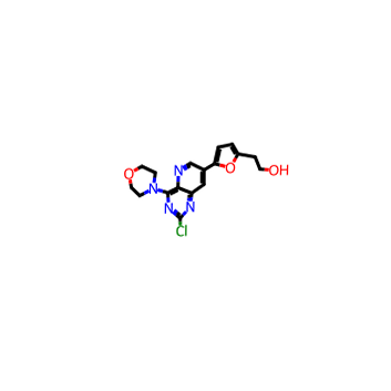 OCCc1ccc(-c2cnc3c(N4CCOCC4)nc(Cl)nc3c2)o1